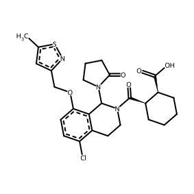 Cc1cc(COc2ccc(Cl)c3c2C(N2CCCC2=O)N(C(=O)[C@@H]2CCCC[C@@H]2C(=O)O)CC3)ns1